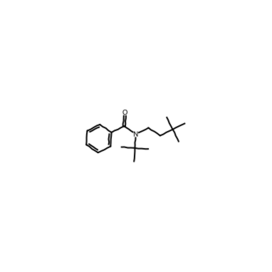 CC(C)(C)CCN(C(=O)c1ccccc1)C(C)(C)C